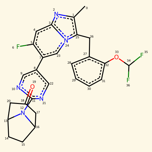 Cc1nc2cc(F)c(-c3cnc(N4C5CCC4CC(=O)C5)nc3)cn2c1Cc1ccccc1OC(F)F